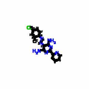 Nc1nc(-c2ccccn2)nc(N)c1/N=N/c1ccc(Cl)cc1C(F)(F)F